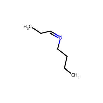 CC/C=N\CCCC